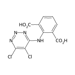 O=C(O)c1cccc(C(=O)O)c1Nc1nnnc(Cl)c1Cl